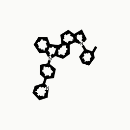 Cc1ccccc1-n1ccc2ccc3c(ccc4c3c3ccccc3n4-c3ccc(-c4ccccn4)cc3)c21